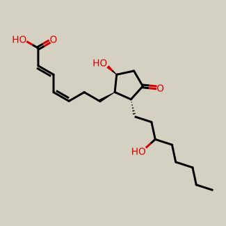 CCCCCC(O)CC[C@H]1C(=O)C[C@H](O)[C@@H]1CC/C=C\C=C\C(=O)O